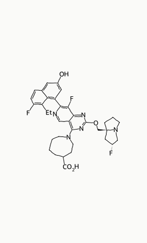 CCc1c(F)ccc2cc(O)cc(-c3ncc4c(N5CCCCC(C(=O)O)CC5)nc(OC[C@@]56CCCN5C[C@H](F)C6)nc4c3F)c12